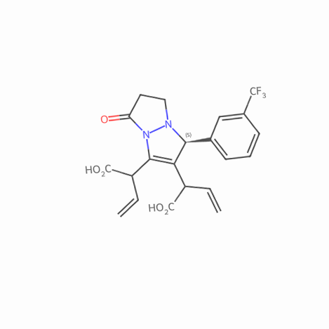 C=CC(C(=O)O)C1=C(C(C=C)C(=O)O)N2C(=O)CCN2[C@H]1c1cccc(C(F)(F)F)c1